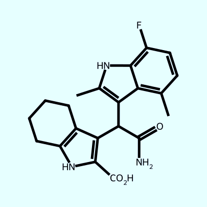 Cc1[nH]c2c(F)ccc(C)c2c1C(C(N)=O)c1c(C(=O)O)[nH]c2c1CCCC2